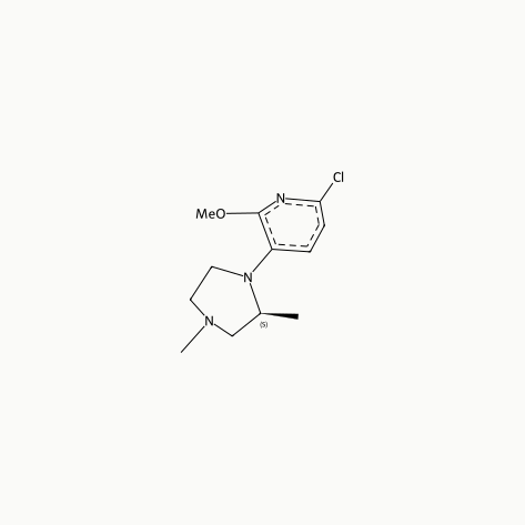 COc1nc(Cl)ccc1N1CCN(C)C[C@@H]1C